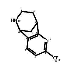 FC(F)(F)c1ccc2c(n1)C1CCNC2C1